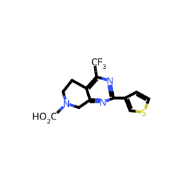 O=C(O)N1CCc2c(nc(-c3ccsc3)nc2C(F)(F)F)C1